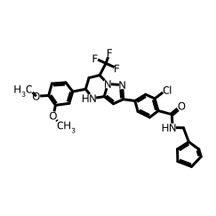 COc1ccc(C2CC(C(F)(F)F)n3nc(-c4ccc(C(=O)NCc5ccccc5)c(Cl)c4)cc3N2)cc1OC